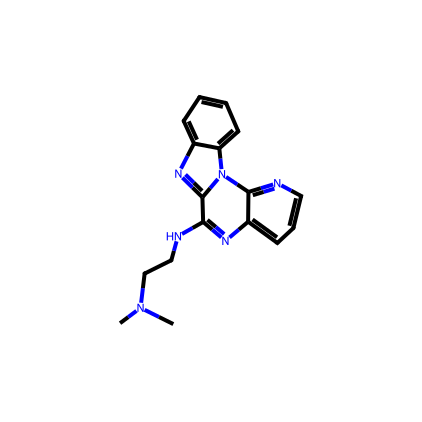 CN(C)CCNc1nc2cccnc2n2c1nc1ccccc12